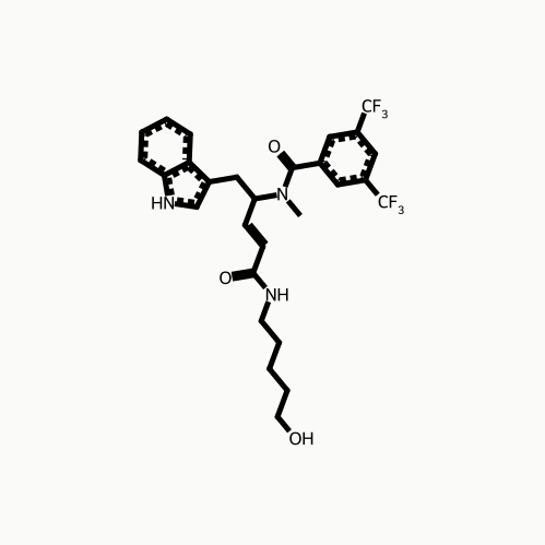 CN(C(=O)c1cc(C(F)(F)F)cc(C(F)(F)F)c1)C(C=CC(=O)NCCCCCO)Cc1c[nH]c2ccccc12